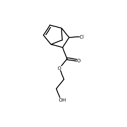 O=C(OCCO)C1C2C=CC(C2)C1Cl